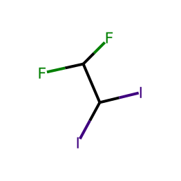 FC(F)C(I)I